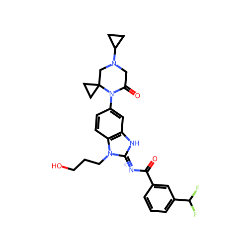 O=C(/N=c1\[nH]c2cc(N3C(=O)CN(C4CC4)CC34CC4)ccc2n1CCCO)c1cccc(C(F)F)c1